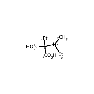 CCN(C)C(CC)(C(=O)O)C(=O)O